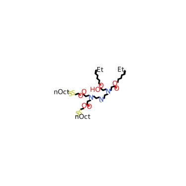 CC/C=C\CCCCOC(=O)CCN(CCCN(C)CCCN(CCC(=O)OCCSSCCCCCCCC)CCC(=O)OCCSSCCCCCCCC)CCC(O)OCCCC/C=C\CC